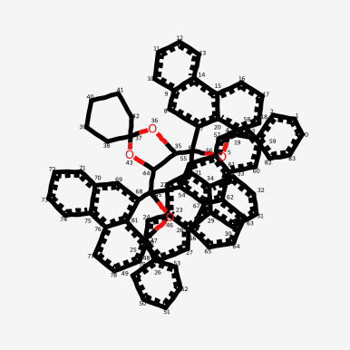 c1ccc(COC(c2cc3ccccc3c3ccccc23)(c2cc3ccccc3c3ccccc23)C2OC3(CCCCC3)OC2C(OCc2ccccc2)(c2cc3ccccc3c3ccccc23)c2cc3ccccc3c3ccccc23)cc1